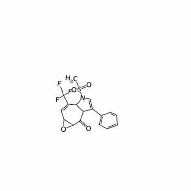 CS(=O)(=O)N1C=C(c2ccccc2)C2C(=O)C3OC3C=C(C(F)(F)F)C21